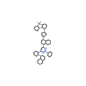 CC1(C)c2ccccc2-c2c(-c3ccc(-c4ccc(-c5cc(-c6ccccc6-c6cccc7ccccc67)nc(-c6ccccc6)n5)c5ccccc45)cc3)cccc21